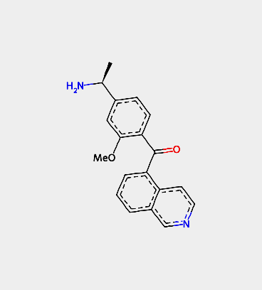 COc1cc([C@H](C)N)ccc1C(=O)c1cccc2cnccc12